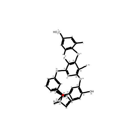 Cc1cc(C(=O)O)cc(C)c1Oc1c(F)c(Oc2cccc(-c3nccn3C)c2)nc(Oc2cc(C(=N)N)ccc2O)c1F